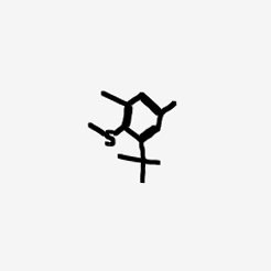 CSc1c(C)cc(C)cc1C(C)(C)C